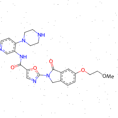 COCCOc1ccc2c(c1)C(=O)N(c1ncc(C(=O)Nc3cnccc3N3CCNCC3)o1)C2